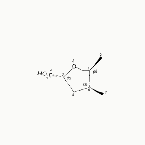 C[C@@H]1O[C@@H](C(=O)O)C[C@@H]1C